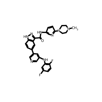 CN1CCN(c2ccc(NC(=O)c3n[nH]c4ccc(-c5cncc(Nc6cc(F)ccc6F)c5)cc34)cn2)CC1